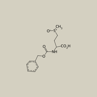 C[S+]([O-])CCC(NC(=O)OCc1ccccc1)C(=O)O